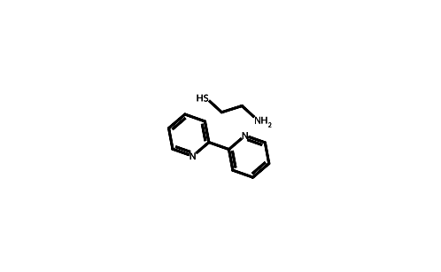 NCCS.c1ccc(-c2ccccn2)nc1